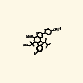 COC(C)c1ncc(N2CCN(C(=O)O)CC2)cc1-c1c(CC(C)(C)CO)c2cc(Br)ccc2n1C(F)C(F)F